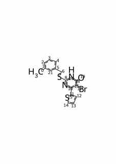 Cc1cccc(CSc2nc(-c3cccs3)c(Br)c(=O)[nH]2)c1